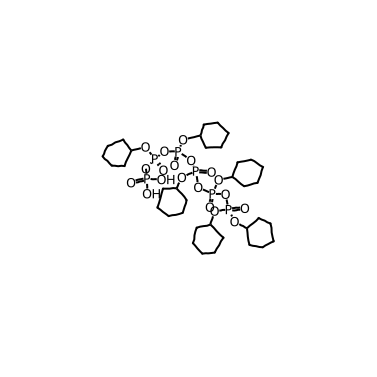 O=P(O)(O)OP(=O)(OC1CCCCC1)OP(=O)(OC1CCCCC1)OP(=O)(OC1CCCCC1)OP(=O)(OC1CCCCC1)OP(=O)(OC1CCCCC1)OC1CCCCC1